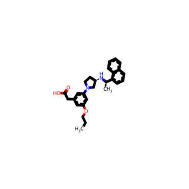 CCCOc1cc(CC(=O)O)cc(N2CC[C@H](N[C@H](C)c3cccc4ccccc34)C2)c1